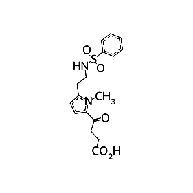 Cn1c(CCNS(=O)(=O)c2ccccc2)ccc1C(=O)CCC(=O)O